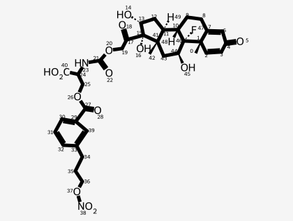 C[C@]12C=CC(=O)C=C1CC[C@H]1[C@@H]3C[C@@H](O)[C@](O)(C(=O)COC(=O)NC(COC(=O)c4cccc(CCCO[N+](=O)[O-])c4)C(=O)O)[C@@]3(C)C[C@H](O)[C@@]12F